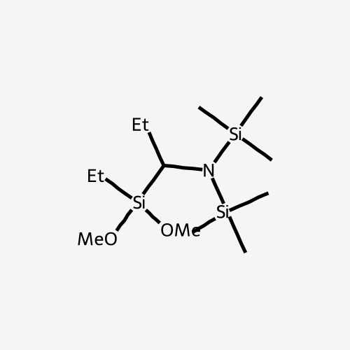 CCC(N([Si](C)(C)C)[Si](C)(C)C)[Si](CC)(OC)OC